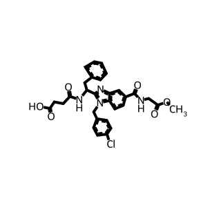 COC(=O)CNC(=O)c1ccc2c(c1)nc(C(Cc1ccccc1)NC(=O)CCC(=O)O)n2Cc1ccc(Cl)cc1